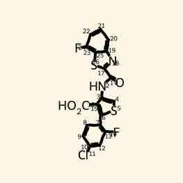 O=C(Nc1csc(-c2ccc(Cl)cc2F)c1C(=O)O)c1nc2cccc(F)c2s1